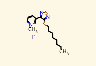 CCCCCCCCSc1nsnc1-c1ccc[n+](C)c1.[I-]